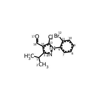 CC(C)c1nn(-c2ccccc2Br)c(Cl)c1C=O